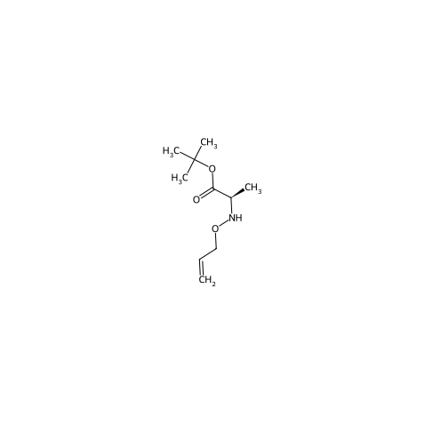 C=CCON[C@H](C)C(=O)OC(C)(C)C